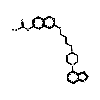 COC(=O)Oc1ccc2ccc(OCCCCN3CCN(c4cccc5sccc45)CC3)cc2n1